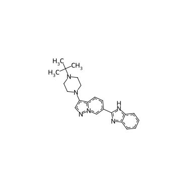 CC(C)(C)N1CCN(c2cnn3cc(-c4nc5ccccc5[nH]4)ccc23)CC1